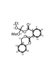 CCOC(C)(OC)OC(=O)c1ccccc1C(=O)OCc1ccccc1